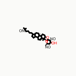 CC(C)(CCCCC1CCC2C3CC=C4C(CC[C@H](O[C@@H]5O[C@H](CN=O)C[C@H](O)[C@H]5N=O)C4(C)C)[C@]3(C)CC[C@]12C)N=O